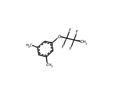 Cc1cc(C)cc(OC(F)(F)C(C)(F)F)c1